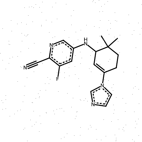 CC1(C)CCC(n2ccnc2)=CC1Nc1cnc(C#N)c(F)c1